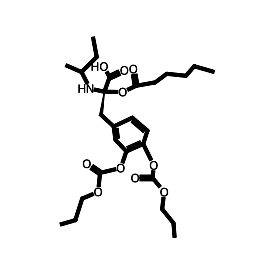 CCCCCC(=O)O[C@](Cc1ccc(OC(=O)OCCC)c(OC(=O)OCCC)c1)(NC(C)CC)C(=O)O